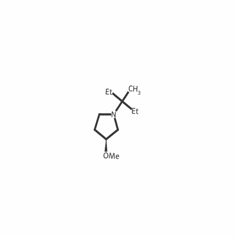 CCC(C)(CC)N1CC[C@H](OC)C1